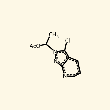 CC(=O)OC(C)n1nc2ncccc2c1Cl